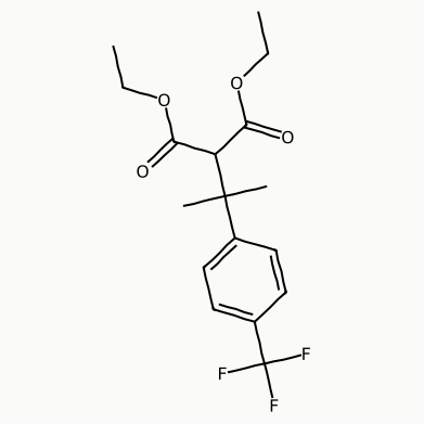 CCOC(=O)C(C(=O)OCC)C(C)(C)c1ccc(C(F)(F)F)cc1